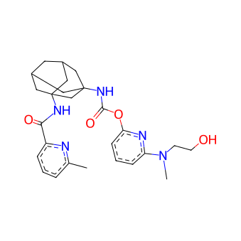 Cc1cccc(C(=O)NC23CC4CC(CC(NC(=O)Oc5cccc(N(C)CCO)n5)(C4)C2)C3)n1